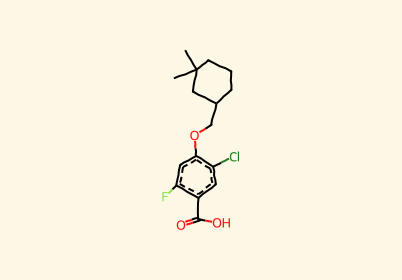 CC1(C)CCCC(COc2cc(F)c(C(=O)O)cc2Cl)C1